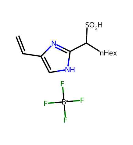 C=Cc1c[nH]c(C(CCCCCC)S(=O)(=O)O)n1.F[B-](F)(F)F